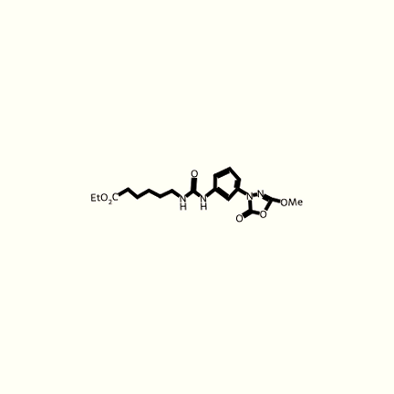 CCOC(=O)CCCCCNC(=O)Nc1cccc(-n2nc(OC)oc2=O)c1